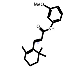 COc1cccc(NC(=O)/C=C/C2=C(C)CCCC2(C)C)c1